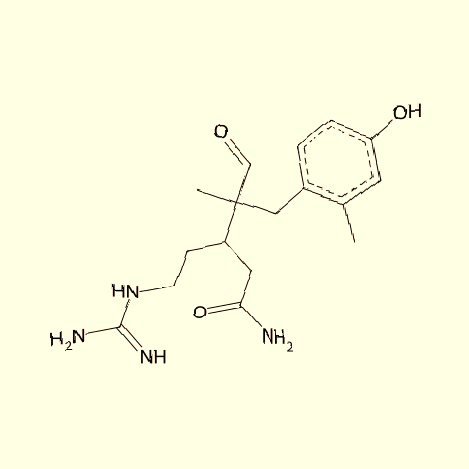 Cc1cc(O)ccc1CC(C)(C=O)C(CCNC(=N)N)CC(N)=O